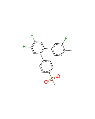 Cc1ccc(-c2cc(F)c(F)cc2-c2ccc(S(C)(=O)=O)cc2)cc1F